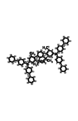 Cc1cc(N(c2ccc(-c3ccccc3)cc2)c2ccc(-c3ccccc3)cc2)cc2c1-c1ccc3c(c1C2(C)C)C(C)(C)c1cc(N(c2ccc(-c4ccccc4)cc2)c2ccc(-c4ccccc4)cc2)cc(C)c1-3